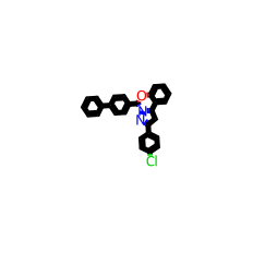 Clc1ccc(C2=NN3C(C2)c2ccccc2OC3c2ccc(-c3ccccc3)cc2)cc1